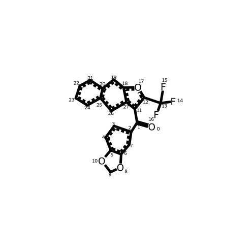 O=C(c1ccc2c(c1)OCO2)c1c(C(F)(F)F)oc2cc3ccccc3cc12